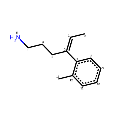 C/C=C(/CCCN)c1ccccc1C